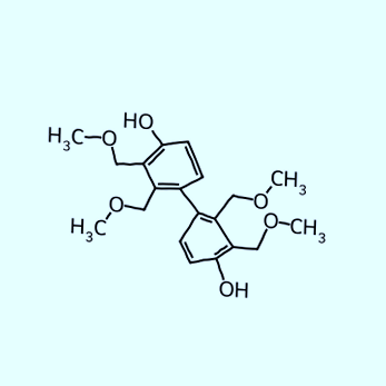 COCc1c(O)ccc(-c2ccc(O)c(COC)c2COC)c1COC